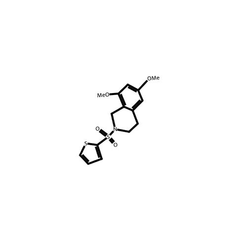 COc1cc2c(c(OC)c1)CN(S(=O)(=O)c1cccs1)CC2